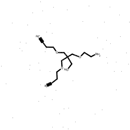 C#CCCOCC(CO)(COCCN)COCCC#N